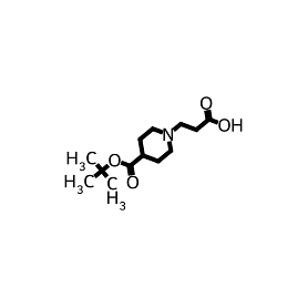 CC(C)(C)OC(=O)C1CCN(CCC(=O)O)CC1